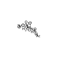 CC(=O)N1CCN(C(=O)CNC(=O)N2Cc3ccccc3N(C(=O)c3ccc(-n4cccn4)cc3Cl)C[C@H]2C)CC1